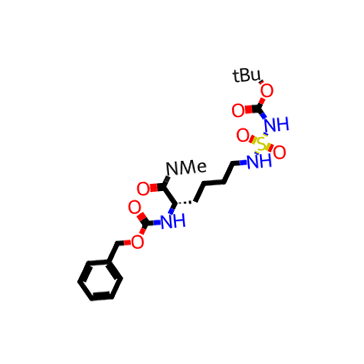 CNC(=O)[C@H](CCCCNS(=O)(=O)NC(=O)OC(C)(C)C)NC(=O)OCc1ccccc1